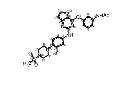 CC(=O)Nc1cccc(Oc2nc(Nc3ccc(N4CCN(S(C)(=O)=O)CC4)c(F)c3)nc3ccsc23)c1